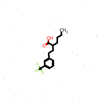 CCCCC(CCc1cccc(C(F)(F)F)c1)C(=O)O